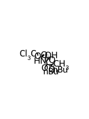 CCCCOC1C(NC(=O)OCC(Cl)(Cl)Cl)[C@H](O)OC(C)[C@H]1OCCCC